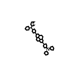 c1ccc(C(c2ccccc2)c2ccc(-c3cc4ccc5cc(-c6ccc(N(c7ccccc7)c7ccccc7)cc6)cc6ccc(c3)c4c56)cc2)cc1